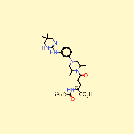 CC(C)COC(=O)N[C@@H](CCC(=O)N1C(C)CN(c2cccc(NC3=NCC(C)(C)CN3)c2)CC1C)C(=O)O